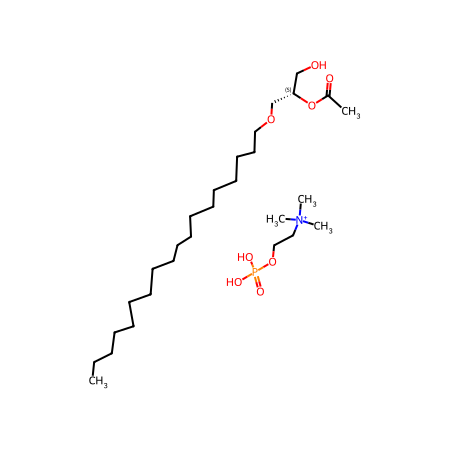 CCCCCCCCCCCCCCCCCCOC[C@H](CO)OC(C)=O.C[N+](C)(C)CCOP(=O)(O)O